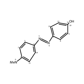 CNc1ccc(/N=N/c2ccc(O)cc2)cc1